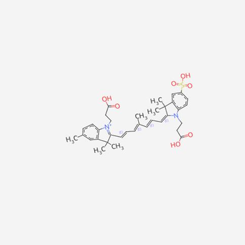 CC(/C=C/C=C1/N(CCC(=O)O)c2ccc(S(=O)(=O)O)cc2C1(C)C)=C\C=C\C1=[N+](CCC(=O)O)c2ccc(C)cc2C1(C)C